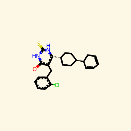 O=c1[nH]c(=S)[nH]c([C@H]2CC[C@H](C3C=CC=CC3)CC2)c1Cc1ccccc1Cl